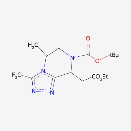 CCOC(=O)CC1c2nnc(C(F)(F)F)n2C(C)CN1C(=O)OC(C)(C)C